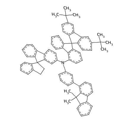 CC(C)(C)c1ccc2c(c1)-c1cc(C(C)(C)C)ccc1C21c2ccccc2-c2c(N(c3cccc(-c4cccc5c4C(C)(C)c4ccccc4-5)c3)c3ccc4c(c3)C3(CCc5ccccc53)c3ccccc3-4)cccc21